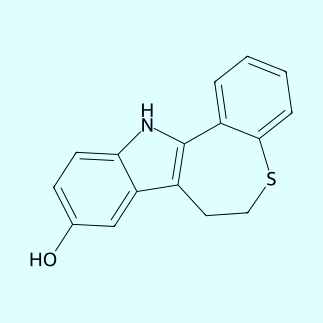 Oc1ccc2[nH]c3c(c2c1)CCSc1ccccc1-3